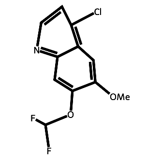 COc1cc2c(Cl)ccnc2cc1OC(F)F